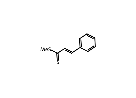 CSC(=S)C=Cc1ccccc1